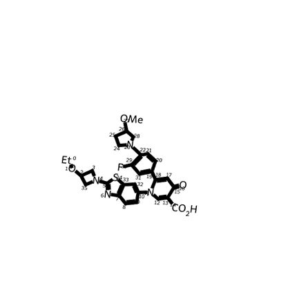 CCOC1CN(c2nc3ccc(-n4cc(C(=O)O)c(=O)cc4-c4ccc(N5CCC(OC)C5)c(F)c4)cc3s2)C1